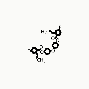 C=CCc1cc(F)ccc1C(=O)OC1CCC(OC2CCC(OC(=O)c3ccc(F)cc3CC=C)CC2)CC1